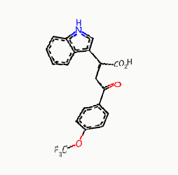 O=C(CC(C(=O)O)c1c[nH]c2ccccc12)c1ccc(OC(F)(F)F)cc1